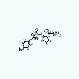 NC(=O)[C@@H]1CCCN1/C=C1\N=C(c2ccc(Br)cc2)OC1=O